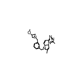 COC1CN(Cc2cccc(CN3C(C)=CC4C3C=Cc3nnc(C)n34)c2)C1